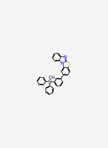 C[Si](c1ccccc1)(c1ccccc1)c1cccc(-c2ccc3sc4nc5ccccc5n4c3c2)c1